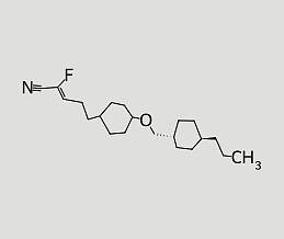 CCC[C@H]1CC[C@H](COC2CCC(CCC=C(F)C#N)CC2)CC1